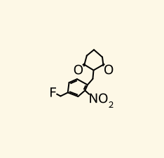 O=C1CCCC(=O)C1Cc1ccc(CF)cc1[N+](=O)[O-]